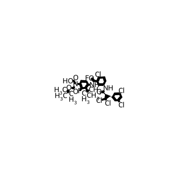 CC(C)(C)OC(=O)N(C(=O)O)c1cc(F)c(NC(=O)c2cc(NC(=O)[C@H]3[C@H](c4cc(Cl)cc(Cl)c4)C3(Cl)Cl)ccc2Cl)c(C(C)(C)C)c1F